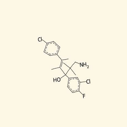 CC(=C(C)C(O)(c1ccc(F)c(Cl)c1)C(C)(C)CN)c1ccc(Cl)cc1